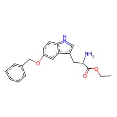 CCOC(=O)C(N)Cc1c[nH]c2ccc(OCc3ccccc3)cc12